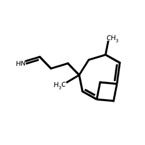 CC1C=C2CC(=CC(C)(CCC=N)C1)C2